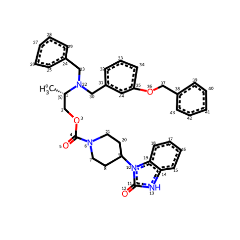 C[C@@H](COC(=O)N1CCC(n2c(=O)[nH]c3ccccc32)CC1)N(Cc1ccccc1)Cc1cccc(OCc2ccccc2)c1